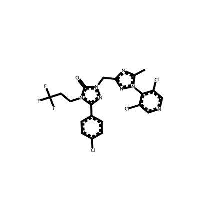 Cc1nc(Cn2nc(-c3ccc(Cl)cc3)n(CCC(F)(F)F)c2=O)nn1-c1c(Cl)cncc1Cl